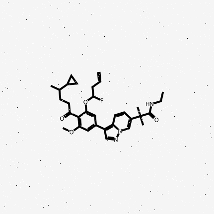 C=CCC(F)Oc1cc(-c2cnn3cc(C(C)(C)C(=O)NCC)ccc23)cc(OC)c1C(=O)CCC(C)C1CC1